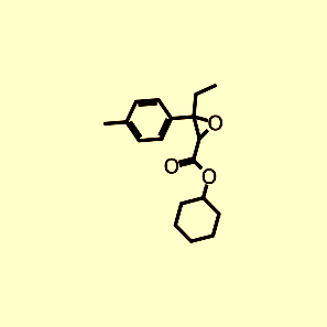 CCC1(c2ccc(C)cc2)OC1C(=O)OC1CCCCC1